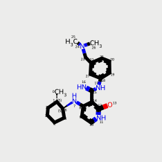 C[C@H]1CCCC[C@@H]1Nc1cc[nH]c(=O)c1C(=N)Nc1cccc(CN(C)C)c1